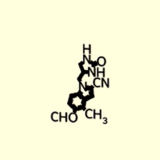 Cc1c(C=O)ccc2c1cc(C#N)n2CC1CNC(=O)N1